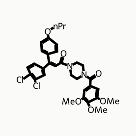 CCCOc1ccc(/C(=C\C(=O)N2CCN(C(=O)c3cc(OC)c(OC)c(OC)c3)CC2)c2ccc(Cl)c(Cl)c2)cc1